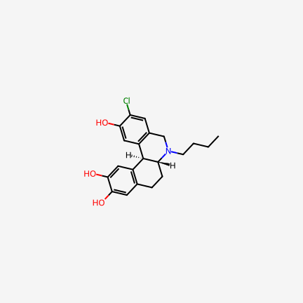 CCCCN1Cc2cc(Cl)c(O)cc2[C@@H]2c3cc(O)c(O)cc3CC[C@H]21